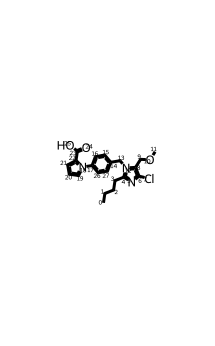 CCCCc1nc(Cl)c(COC)n1Cc1ccc(-n2cccc2C(=O)O)cc1